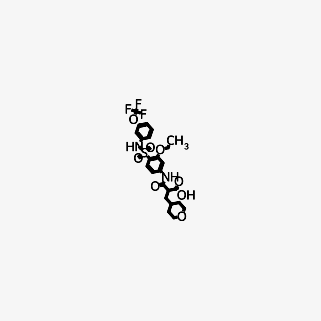 CCOc1cc(NC(=O)C(CC2CCOCC2)C(=O)O)ccc1S(=O)(=O)Nc1cccc(OC(F)(F)F)c1